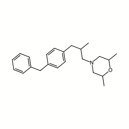 CC(Cc1ccc(Cc2ccccc2)cc1)CN1CC(C)OC(C)C1